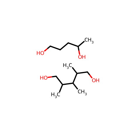 CC(CO)C(C)C(C)CO.CC(O)CCCO